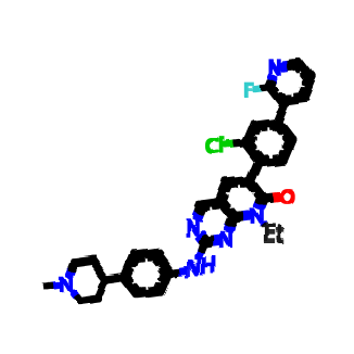 CCn1c(=O)c(-c2ccc(-c3cccnc3F)cc2Cl)cc2cnc(Nc3ccc(C4CCN(C)CC4)cc3)nc21